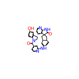 O=C(c1ccnc(NC2=CC3CC4(CC3C=C2)C(=O)Nc2ncccc24)c1)N1CCc2cc(O)ccc21